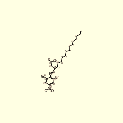 CCCCCCCCCCCCCCC(CC(C)[O])N=Nc1c(Br)cc([N+](=O)[O-])cc1Br